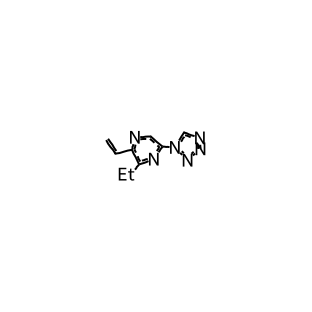 C=Cc1ncc(-n2cnnn2)nc1CC